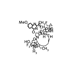 COc1ccc2c(O[C@@H]3C[C@H]4C(=O)N[C@]5(C(=O)NS(=O)(=O)C6(CF)CC6)C[C@H]5/C=C\CC[C@H](C)C[C@@H](C)[C@H](N(C(=O)O)C(C)(C)C(F)(F)F)C(=O)N4C3)nc(N(C)C)nc2c1